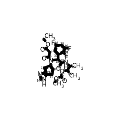 CCOC(=O)CC(=O)N(c1ccc2[nH]cnc2c1)C(C(=O)NC(C)C(C)OC(=O)OC)c1cc(F)cc(F)c1F